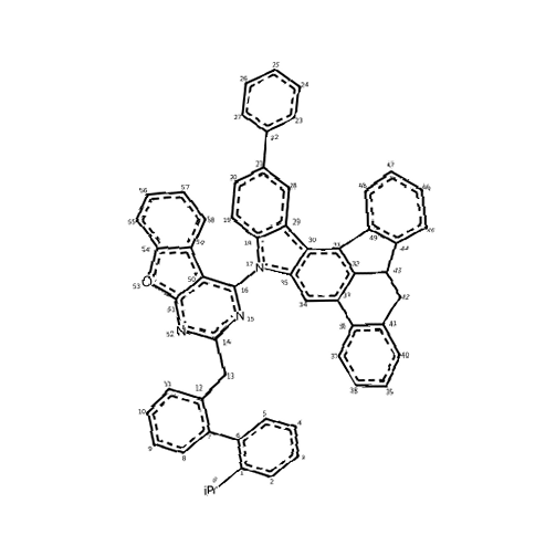 CC(C)c1ccccc1-c1ccccc1Cc1nc(-n2c3ccc(-c4ccccc4)cc3c3c4c5c(cc32)-c2ccccc2CC5c2ccccc2-4)c2c(n1)oc1ccccc12